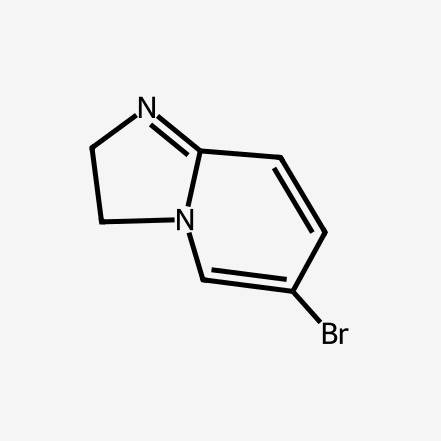 BrC1=CN2CCN=C2C=C1